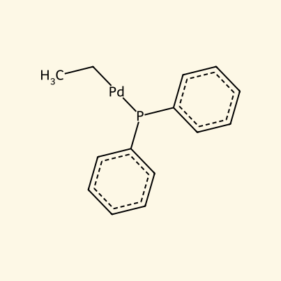 C[CH2][Pd][P](c1ccccc1)c1ccccc1